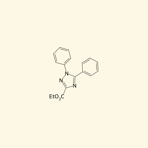 CCOC(=O)c1nc(-c2ccccc2)n(-c2ccccc2)n1